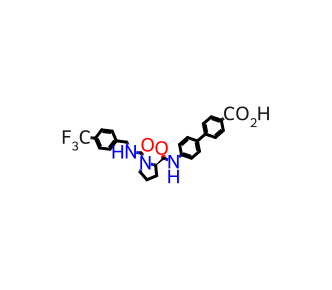 O=C(O)c1ccc(-c2ccc(NC(=O)[C@H]3CCCN3C(=O)NCc3ccc(C(F)(F)F)cc3)cc2)cc1